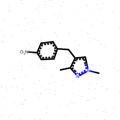 Cc1nn(C)cc1Cc1ccc([N+](=O)[O-])cc1